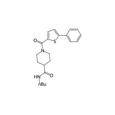 CCCCNC(=O)C1CCN(C(=O)c2ccc(-c3ccccc3)s2)CC1